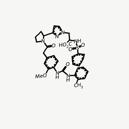 COc1cc(CC(=O)N2CCCC2c2ccn(CC(NS(=O)(=O)c3ccccc3)C(=O)O)n2)ccc1NC(=O)Nc1ccccc1C